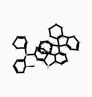 C[C@H]1CC=CC=C1N(C1=CC=CCC1)C1C=C2OC3C=CC=C(C4(c5ccccc5)C5=CC=CCC5C5=C4CCCC5)C3C2CC1